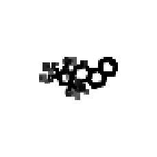 CC1(C)CC(C)(C)[C@]2(C=Nc3c(ccc4ccccc34)O2)N1O